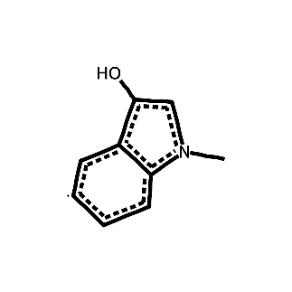 Cn1cc(O)c2c[c]ccc21